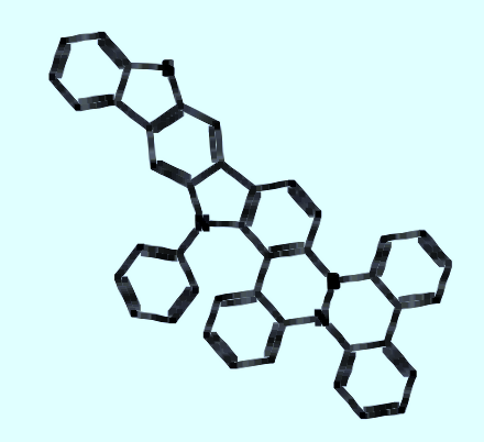 c1ccc(-n2c3cc4c(cc3c3ccc5c(c32)-c2ccccc2N2B5c3ccccc3-c3ccccc32)sc2ccccc24)cc1